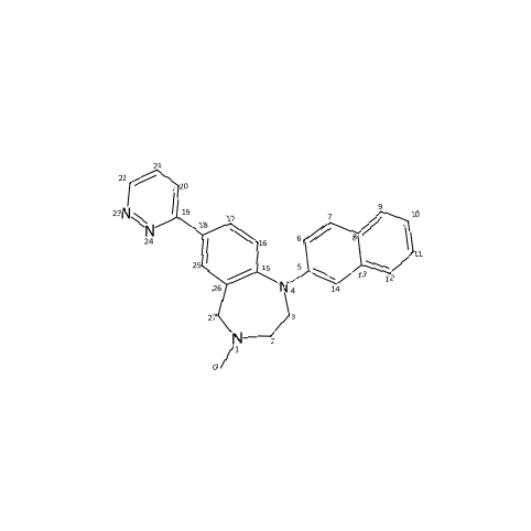 CN1CCN(c2ccc3ccccc3c2)c2ccc(-c3cccnn3)cc2C1